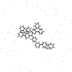 c1cc(-c2ccc(N(c3ccc4c(c3)C3(c5ccccc5-c5ccccc53)c3ccccc3-4)c3ccc4c5ccccc5c5ccccc5c4c3)cc2)cc(-c2ccc3c(c2)sc2ccccc23)c1